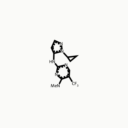 CNc1nc(Nc2ccnn2C2CC2)ncc1C(F)(F)F